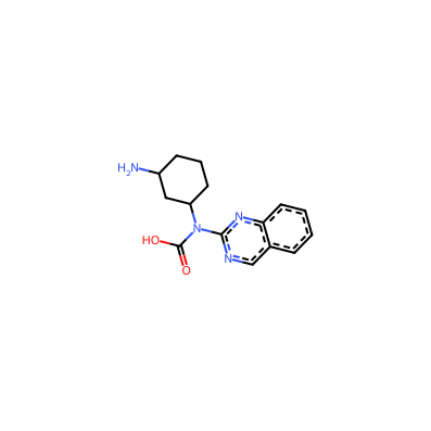 NC1CCCC(N(C(=O)O)c2ncc3ccccc3n2)C1